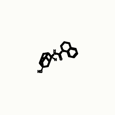 O=C(N[C@H]1C2CC3CC1C[C@](O)(C3)C2)N1CCCc2ccccc21